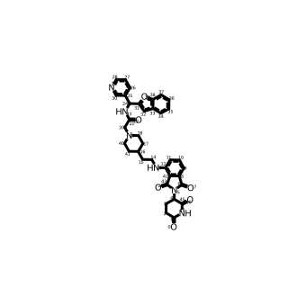 O=C1CCC(N2C(=O)c3cccc(NCCC4CCN(CC(=O)NC(c5cccnc5)c5cc6ccccc6o5)CC4)c3C2=O)C(=O)N1